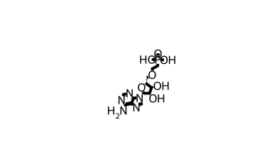 Nc1ncnc2c1ncn2C1O[C@H](COCCP(=O)(O)O)[C@@H](O)[C@H]1O